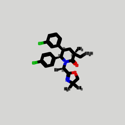 CC[C@@H](C1=NC(C)(C)CO1)N1C(=O)[C@](C)(CC(=O)O)C[C@H](c2cccc(Cl)c2)[C@H]1c1ccc(Cl)cc1